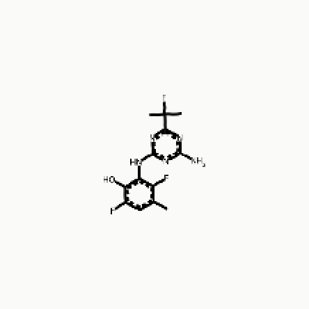 Cc1cc(F)c(O)c(Nc2nc(N)nc(C(C)(C)F)n2)c1F